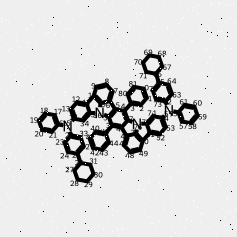 c1ccc(-c2c3c4cccc5c6ccc(N(c7ccccc7)c7ccc(C8CCCCC8)cc7)cc6n(c3c(-c3ccccc3)c3c6cccc7c8ccc(N(c9ccccc9)c9ccc(C%10CCCCC%10)cc9)cc8n(c23)c76)c54)cc1